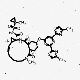 Cc1csc(-c2cc(O[C@H]3CC[C@H]4C(=O)N(C)CCCC/C=C\[C@H]5C[C@@]5(C(=O)NS(=O)(=O)C5(C)CC5)NC(=O)[C@@H]4C3)nc(-c3nc(C(F)(F)F)cs3)n2)n1